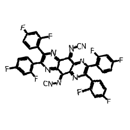 [C-]#[N+]N=C1c2nc(-c3ccc(F)cc3F)c(-c3ccc(F)cc3F)nc2C(=NC#N)c2nc(-c3ccc(F)cc3F)c(-c3ccc(F)cc3F)nc21